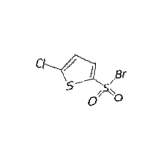 O=S(=O)(Br)c1ccc(Cl)s1